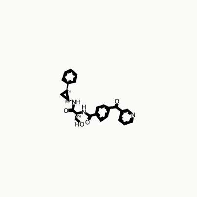 O=C(N[C@@H](CO)C(=O)N[C@@H]1C[C@H]1c1ccccc1)c1ccc(C(=O)c2cccnc2)cc1